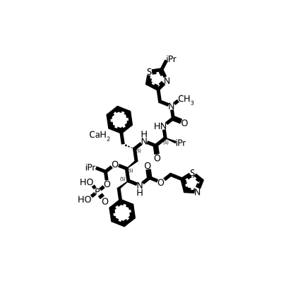 CC(C)c1nc(CN(C)C(=O)N[C@H](C(=O)N[C@@H](Cc2ccccc2)C[C@H](OC(OP(=O)(O)O)C(C)C)[C@H](Cc2ccccc2)NC(=O)OCc2cncs2)C(C)C)cs1.[CaH2]